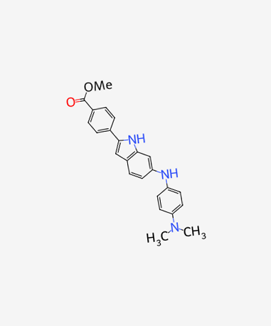 COC(=O)c1ccc(-c2cc3ccc(Nc4ccc(N(C)C)cc4)cc3[nH]2)cc1